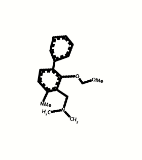 CNc1ccc(-c2ccccc2)c(OCOC)c1CN(C)C